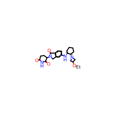 CCOC1CN([C@H]2CCCC[C@@H]2Nc2ccc3c(c2)CN(C2CCC(=O)NC2=O)C3=O)C1